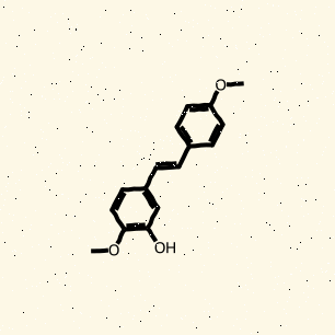 COc1ccc(C=Cc2ccc(OC)c(O)c2)cc1